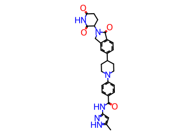 Cc1cc(NC(=O)c2ccc(N3CCC(c4ccc5c(c4)CN(C4CCC(=O)NC4=O)C5=O)CC3)cc2)n[nH]1